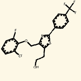 OCCc1sc(-c2ccc(C(F)(F)F)cc2)nc1COc1c(F)cccc1Cl